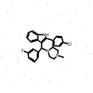 CN1CCN(C(c2cccc(F)c2)c2c(-c3ccc(Cl)cc3)[nH]c3ccccc23)CC1